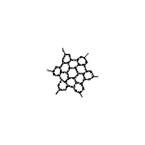 Cc1cc2c3cc(C)cc4c5cc(I)cc6c7cc(I)cc8c9cc(C)cc%10c%11cc(I)cc%12c(c1)c2c1c(c34)c(c56)c(c87)c(c%109)c1c%12%11